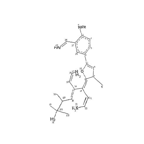 CNc1ccc(C2=CC(C)/C(=C(\C=C/N)C(/C=C\N)=C/C(C)C(C)(C)O)O2)cc1C=N